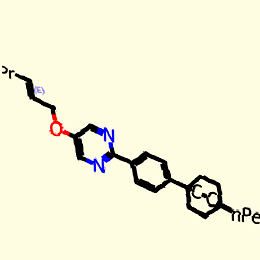 CCC/C=C/COc1cnc(-c2ccc(C34CCC(CCCCC)(CC3)CC4)cc2)nc1